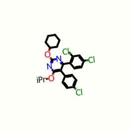 CC(C)Oc1nc(OC2CCCCC2)nc(-c2ccc(Cl)cc2Cl)c1-c1ccc(Cl)cc1